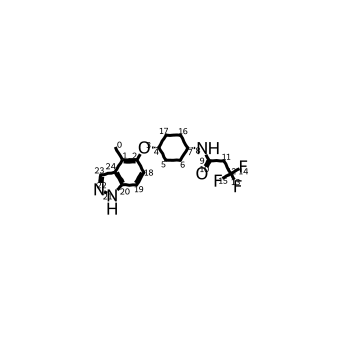 Cc1c(O[C@H]2CC[C@@H](NC(=O)CC(F)(F)F)CC2)ccc2[nH]ncc12